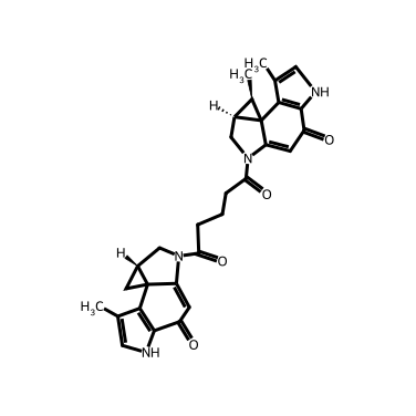 Cc1c[nH]c2c1C13C[C@@H]1CN(C(=O)CCCC(=O)N1C[C@H]4[C@@H](C)C45C1=CC(=O)c1[nH]cc(C)c15)C3=CC2=O